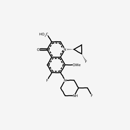 COc1c(N2CCNC(CF)C2)c(F)cc2c(=O)c(C(=O)O)cn([C@@H]3C[C@@H]3F)c12